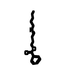 CCCCCN=CCCCOC(=O)c1ccccc1